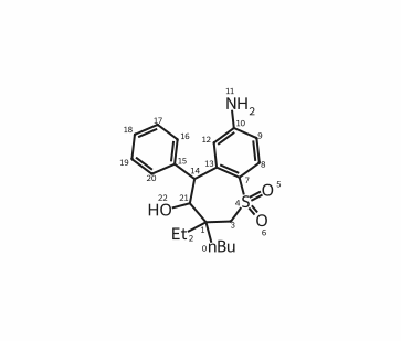 CCCCC1(CC)CS(=O)(=O)c2ccc(N)cc2C(c2ccccc2)C1O